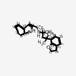 CC(C)(CC(O)(NCc1cc2ccccc2[nH]1)C(F)(F)F)c1cccc2c1OCC2